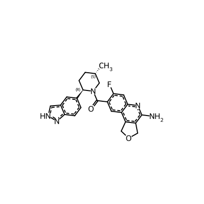 C[C@H]1CC[C@H](c2ccc3n[nH]cc3c2)N(C(=O)c2cc3c4c(c(N)nc3cc2F)COC4)C1